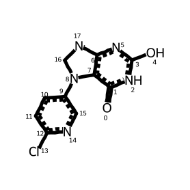 O=c1[nH]c(O)nc2c1N(c1ccc(Cl)nc1)C[N]2